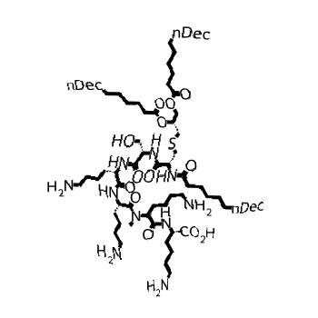 CCCCCCCCCCCCCCCC(=O)N[C@@H](CSC[C@@H](COC(=O)CCCCCCCCCCCCCCC)OC(=O)CCCCCCCCCCCCCCC)C(=O)N[C@@H](CO)C(=O)N[C@@H](CCCCN)C(=O)N[C@@H](CCCCN)C(=O)N(C)C(CCCCN)C(=O)N[C@@H](CCCCN)C(=O)O